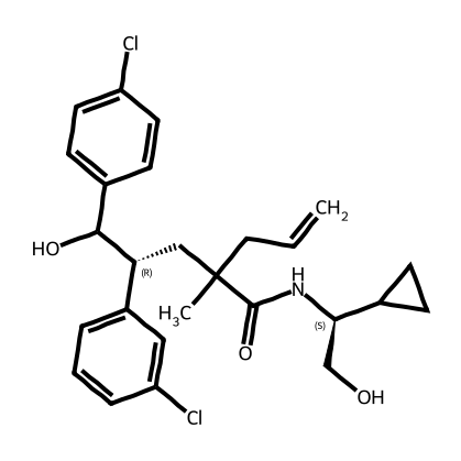 C=CCC(C)(C[C@H](c1cccc(Cl)c1)C(O)c1ccc(Cl)cc1)C(=O)N[C@H](CO)C1CC1